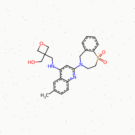 Cc1ccc2nc(N3CCS(=O)(=O)c4ccccc4C3)cc(NCC3(CO)COC3)c2c1